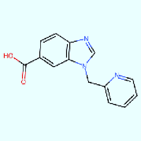 O=C(O)c1ccc2ncn(Cc3ccccn3)c2c1